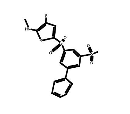 CNc1sc(S(=O)(=O)c2cc(-c3ccccc3)cc(S(C)(=O)=O)c2)cc1F